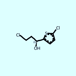 O[C@@H](CCCl)c1ccc(Cl)s1